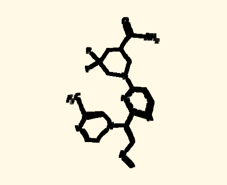 C=N/C=C(/c1nccc(N2CC(C(N)=O)CC(F)(F)C2)n1)N1C=C(C(F)(F)F)N=CC1